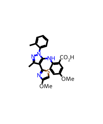 COc1ccc(Nc2c(-c3nc(OC)cs3)c(C)nn2-c2ccccc2C)c(C(=O)O)c1